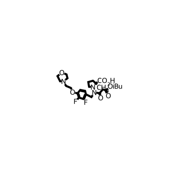 CC(C)COC(=O)CC(=O)N(Cc1ccc(OCCN2CCOCC2)c(F)c1F)N1CCCC1(C)C(=O)O